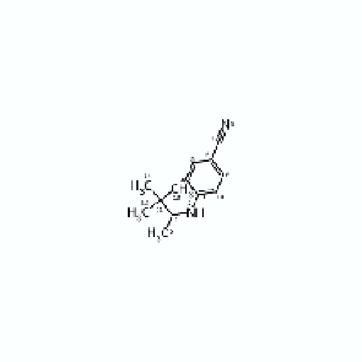 CC(Nc1ccc(C#N)cc1)C(C)(C)C